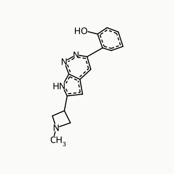 CN1CC(c2cc3cc(-c4ccccc4O)nnc3[nH]2)C1